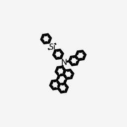 C[Si](C)(c1ccccc1)c1ccc(N(c2ccc3ccccc3c2)c2ccc3c4cccc5cccc(c6cccc2c63)c54)cc1